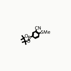 CSc1ccc(B2OC(C)(C)C(C)(C)O2)cc1C#N